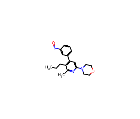 CCCc1c(-c2cccc(N=O)c2)cc(N2CCOCC2)nc1C